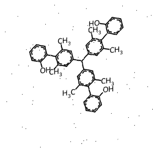 Cc1cc(C(c2cc(C)c(-c3ccccc3O)c(C)c2)c2cc(C)c(-c3ccccc3O)c(C)c2)cc(C)c1-c1ccccc1O